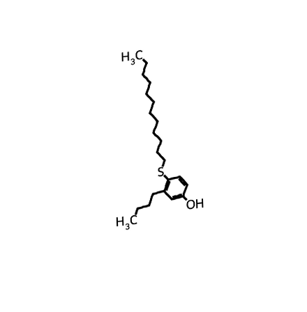 CCCCCCCCCCCCSc1ccc(O)cc1CCCC